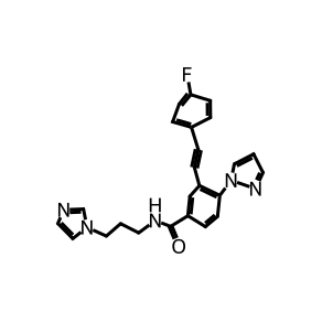 O=C(NCCCn1ccnc1)c1ccc(-n2cccn2)c(C#Cc2ccc(F)cc2)c1